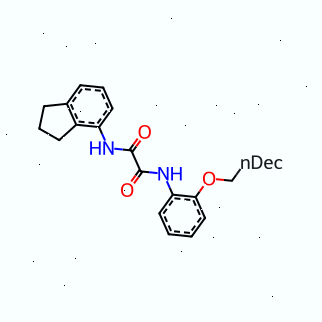 CCCCCCCCCCCOc1ccccc1NC(=O)C(=O)Nc1cccc2c1CCC2